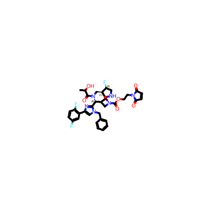 CC(O)C(=O)N(C[C@@H]1CNC[C@@H]1F)[C@@H](c1nc(-c2cc(F)ccc2F)cn1Cc1ccccc1)C1CN(C(=O)OCCN2C(=O)C=CC2=O)C1